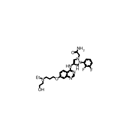 CCN(CCO)CCCOc1ccc2c(NC3=CN(CC(N)=O)N(c4cccc(F)c4F)N3)ncnc2c1